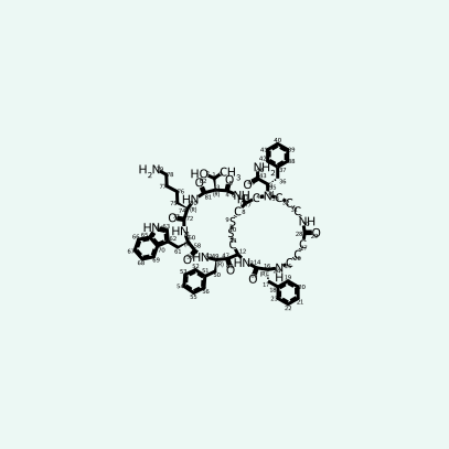 CC(O)[C@H]1C(=O)N[C@H]2CSSCC(NC(=O)[C@@H](Cc3ccccc3)NCCCC(=O)NCCCN([C@@H](Cc3ccccc3)C(N)=O)C2)C(=O)[C@@H](Cc2ccccc2)NC(=O)[C@@H](Cc2c[nH]c3ccccc23)NC(=O)[C@@H](CCCCN)NC1=O